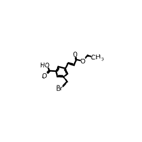 CCOC(=O)C=Cc1cc(CBr)cc(C(=O)O)c1